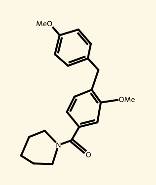 COc1ccc(Cc2ccc(C(=O)N3CCCCC3)cc2OC)cc1